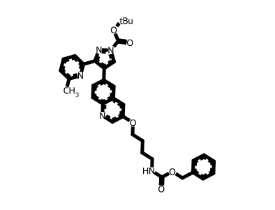 Cc1cccc(-c2nn(C(=O)OC(C)(C)C)cc2-c2ccc3ncc(OCCCCNC(=O)OCc4ccccc4)cc3c2)n1